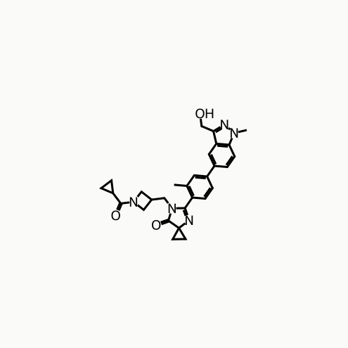 Cc1cc(-c2ccc3c(c2)c(CO)nn3C)ccc1C1=NC2(CC2)C(=O)N1CC1CN(C(=O)C2CC2)C1